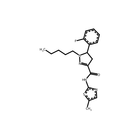 CCCCCN1N=C(C(=O)Nc2ncc(C)s2)CC1c1ccccc1F